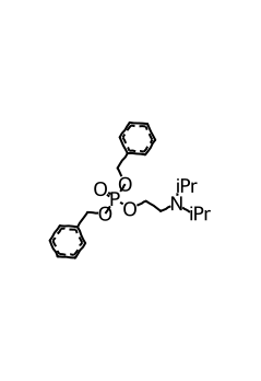 CC(C)N(CCOP(=O)(OCc1ccccc1)OCc1ccccc1)C(C)C